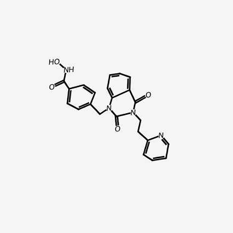 O=C(NO)c1ccc(Cn2c(=O)n(CCc3ccccn3)c(=O)c3ccccc32)cc1